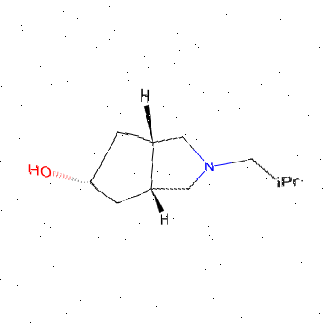 C[C](C)CN1C[C@H]2C[C@@H](O)C[C@H]2C1